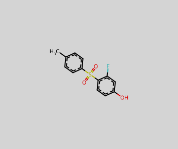 Cc1ccc(S(=O)(=O)c2ccc(O)cc2F)cc1